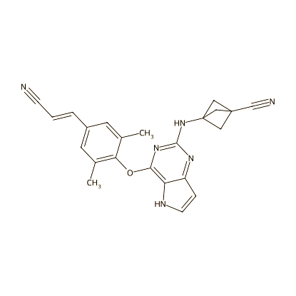 Cc1cc(/C=C/C#N)cc(C)c1Oc1nc(NC23CC(C#N)(C2)C3)nc2cc[nH]c12